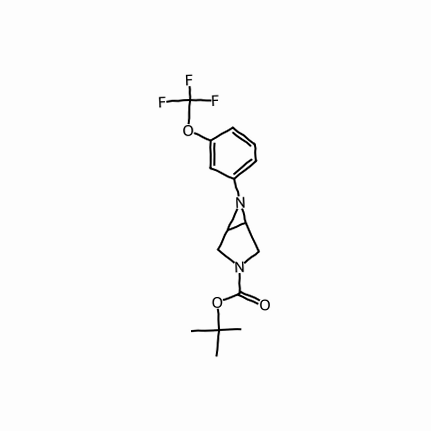 CC(C)(C)OC(=O)N1CC2C(C1)N2c1cccc(OC(F)(F)F)c1